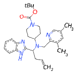 C=CCC(c1nc2ccccc2[nH]1)N(Cc1ncc(C)cc1C)C1CCN(C(=O)OC(C)(C)C)CC1